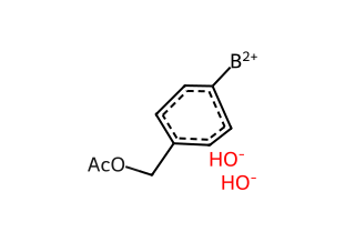 [B+2]c1ccc(COC(C)=O)cc1.[OH-].[OH-]